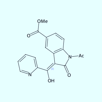 COC(=O)c1ccc2c(c1)/C(=C(/O)c1ccccn1)C(=O)N2C(C)=O